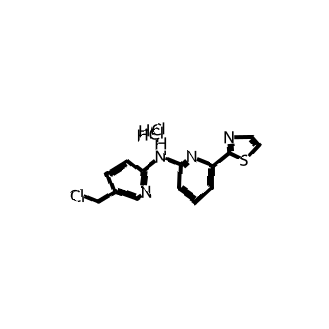 Cl.Cl.ClCc1ccc(Nc2cccc(-c3nccs3)n2)nc1